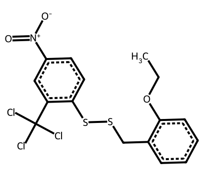 CCOc1ccccc1CSSc1ccc([N+](=O)[O-])cc1C(Cl)(Cl)Cl